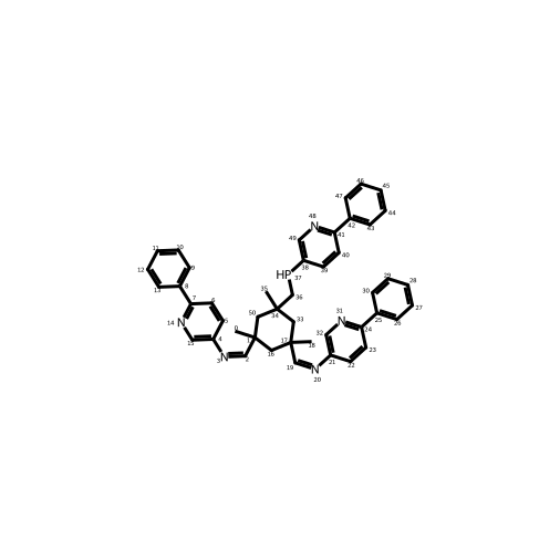 CC1(/C=N\c2ccc(-c3ccccc3)nc2)CC(C)(/C=N\c2ccc(-c3ccccc3)nc2)CC(C)(CPc2ccc(-c3ccccc3)nc2)C1